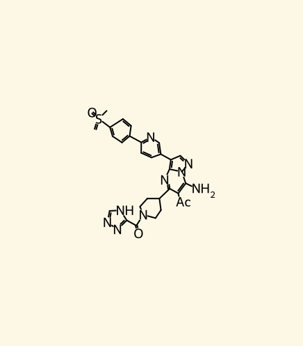 C=S(C)(=O)c1ccc(-c2ccc(-c3cnn4c(N)c(C(C)=O)c(C5CCN(C(=O)c6nnc[nH]6)CC5)nc34)cn2)cc1